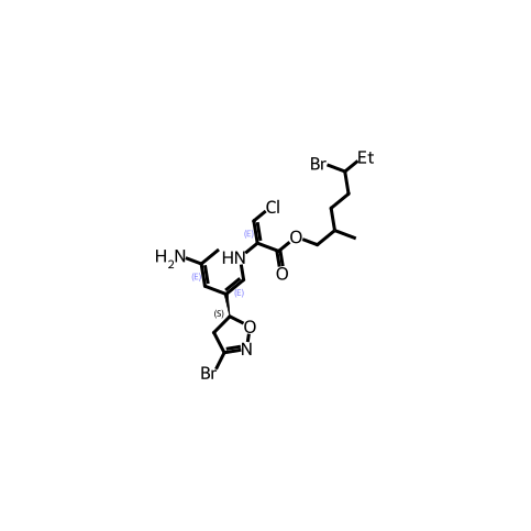 CCC(Br)CCC(C)COC(=O)/C(=C\Cl)N/C=C(\C=C(/C)N)[C@@H]1CC(Br)=NO1